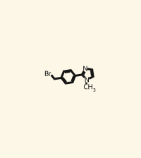 Cn1ccnc1-c1ccc(CBr)cc1